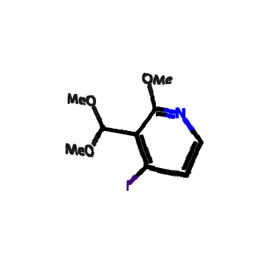 COc1nccc(I)c1C(OC)OC